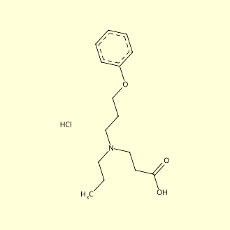 CCCN(CCCOc1ccccc1)CCC(=O)O.Cl